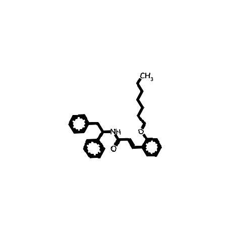 CCCCCCCOc1ccccc1C=CC(=O)NC(Cc1ccccc1)c1ccccc1